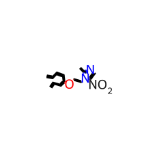 C=C/C=C\C(=C/C=C)OCCn1c([N+](=O)[O-])cnc1C